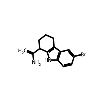 C=C(N)C1CCCc2c1[nH]c1ccc(Br)cc21